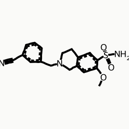 COc1cc2c(cc1S(N)(=O)=O)CCN(Cc1cccc(C#N)c1)C2